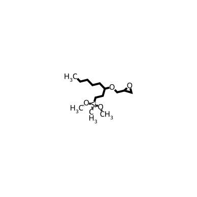 CCCCCC(CC[Si](C)(OC)OC)OCC1CO1